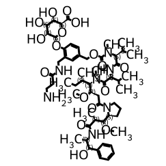 CC[C@H](C)[C@@H]([C@@H](CC(=O)N1CCC[C@H]1[C@H](OC)[C@@H](C)C(=O)N[C@H](C)[C@@H](O)c1ccccc1)OC)N(C)C(=O)[C@@H](NC(=O)[C@H](C(C)C)N(C)C(=O)OCc1ccc(O[C@@H]2O[C@H](C(=O)O)[C@@H](O)[C@H](O)[C@H]2O)c(CNC(=O)CCN)c1)C(C)C